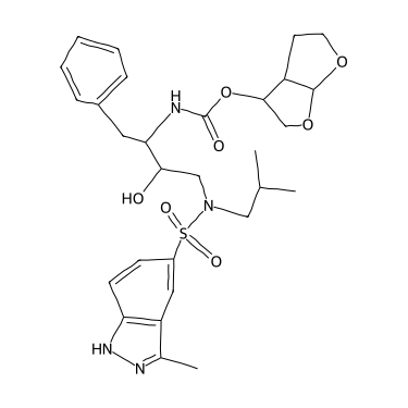 Cc1n[nH]c2ccc(S(=O)(=O)N(CC(C)C)CC(O)C(Cc3ccccc3)NC(=O)OC3COC4OCCC34)cc12